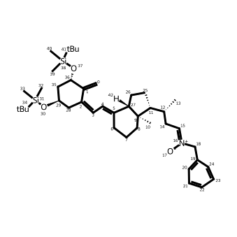 C=C1/C(=C\C=C2/CCC[C@]3(C)[C@@H]([C@H](C)C/C=[N+](\[O-])Cc4ccccc4)CC[C@@H]23)C[C@@H](O[Si](C)(C)C(C)(C)C)C[C@@H]1O[Si](C)(C)C(C)(C)C